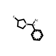 CC(=O)[C@@H](c1ccccc1)N1CCC(F)C1